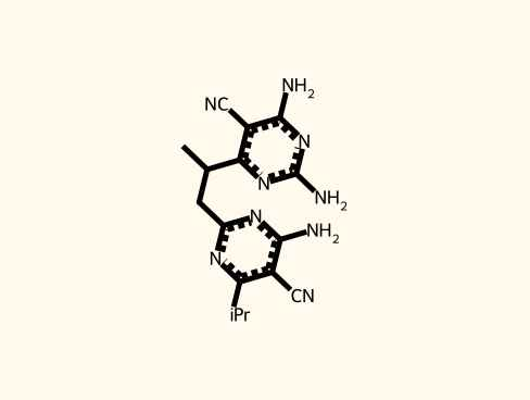 CC(C)c1nc(CC(C)c2nc(N)nc(N)c2C#N)nc(N)c1C#N